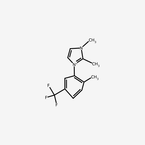 Cc1ccc(C(F)(F)F)cc1-[n+]1ccn(C)c1C